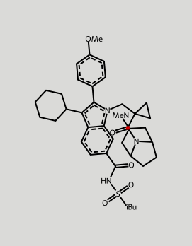 CCC(C)S(=O)(=O)NC(=O)c1ccc2c(C3CCCCC3)c(-c3ccc(OC)cc3)n(CC3(C(=O)N4C5CCC4CC(NC)C5)CC3)c2c1